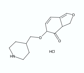 Cl.O=C1C(OCC2CCNCC2)C=CC2=COCC12